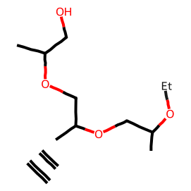 C=C.C=C.CCOC(C)COC(C)COC(C)CO